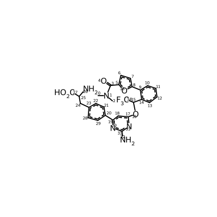 CN(C)C(=O)c1ccc(-c2ccccc2C(Oc2cc(-c3ccc(CC(N)C(=O)O)cc3)nc(N)n2)C(F)(F)F)o1